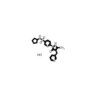 Cc1[nH]n(-c2ccc(S(=O)(=O)NC3CCCC3)cn2)c(=O)c1Cc1cccnc1.Cl